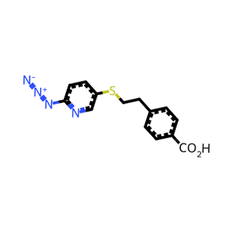 [N-]=[N+]=Nc1ccc(SCCc2ccc(C(=O)O)cc2)cn1